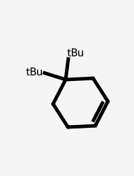 CC(C)(C)C1(C(C)(C)C)CC=CCC1